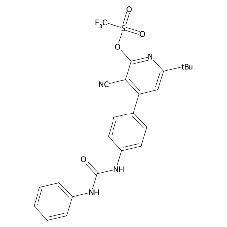 CC(C)(C)c1cc(-c2ccc(NC(=O)Nc3ccccc3)cc2)c(C#N)c(OS(=O)(=O)C(F)(F)F)n1